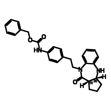 O=C(Nc1ccc(CCN2C(=O)[C@H]3CCC[C@H]3Nc3ccccc32)cc1)OCc1ccccc1